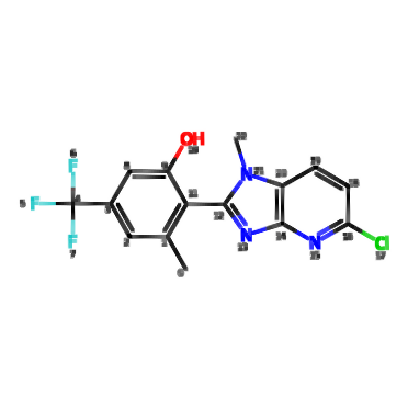 Cc1cc(C(F)(F)F)cc(O)c1-c1nc2nc(Cl)ccc2n1C